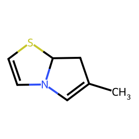 CC1=CN2C=CSC2C1